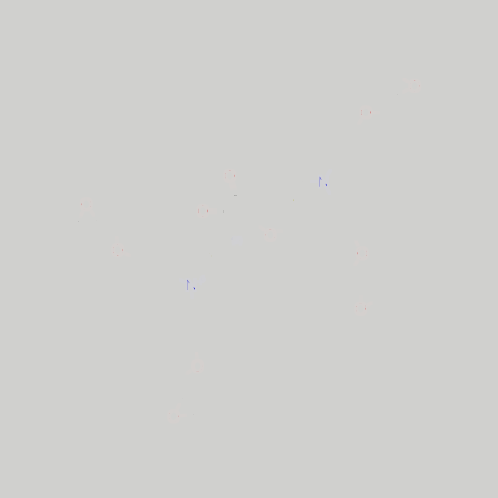 O=C1C(=O)/C(=C2/C=CC(=[N+](c3ccc(OCC4CO4)cc3)c3ccc(OCC4CO4)cc3)S2)C([O-])=C1c1ccc(N(c2ccc(OCC3CO3)cc2)c2ccc(OCC3CO3)cc2)s1